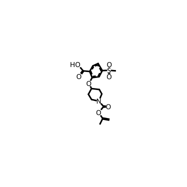 C=C(C)OC(=O)N1CCC(Oc2cc(S(C)(=O)=O)ccc2C(=O)O)CC1